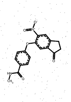 CNC(=O)c1ccc(Oc2cc3c(cc2[N+](=O)[O-])CCC3=O)cc1